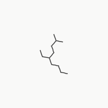 CCCCC(CC)C[CH]C(C)C